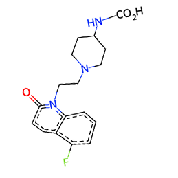 O=C(O)NC1CCN(CCn2c(=O)ccc3c(F)cccc32)CC1